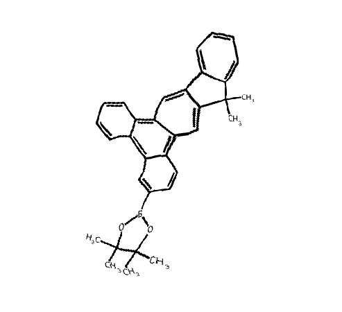 CC1(C)c2ccccc2-c2cc3c4ccccc4c4cc(B5OC(C)(C)C(C)(C)O5)ccc4c3cc21